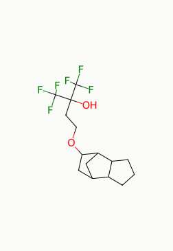 OC(CCOC1CC2CC1C1CCCC21)(C(F)(F)F)C(F)(F)F